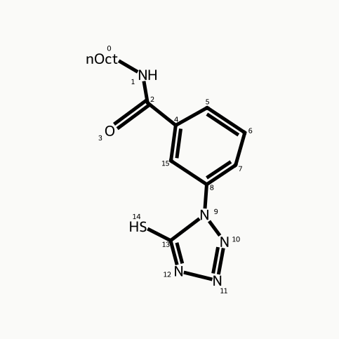 CCCCCCCCNC(=O)c1cccc(-n2nnnc2S)c1